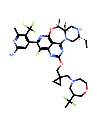 CC[C@@H]1CN2c3nc(OCC4(CN5CCOCC(C(C)(F)F)C5)CC4)nc4c(F)c(-c5cc(N)nc(C)c5C(F)(F)F)nc(c34)O[C@@H](C)[C@@H]2CN1